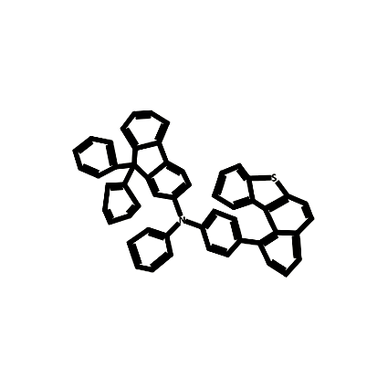 c1ccc(N(c2ccc(-c3cccc4ccc5sc6ccccc6c5c34)cc2)c2ccc3c(c2)C(c2ccccc2)(c2ccccc2)c2ccccc2-3)cc1